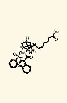 CC1(C)[C@H]2C[C@H](C/C=C\CCCC(=O)O)[C@@H](N(OS(=O)(=O)c3ccccc3)C(=O)c3csc4ccccc34)[C@@H]1C2